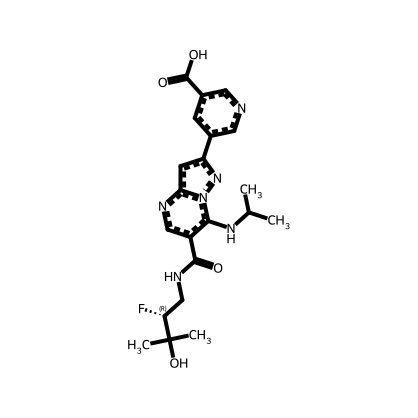 CC(C)Nc1c(C(=O)NC[C@@H](F)C(C)(C)O)cnc2cc(-c3cncc(C(=O)O)c3)nn12